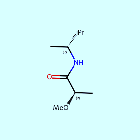 CO[C@H](C)C(=O)N[C@H](C)C(C)C